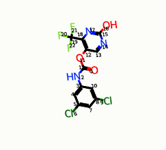 O=C(Nc1cc(Cl)cc(Cl)c1)Oc1cnc(O)nc1C(F)(F)F